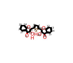 O=c1c(O)c(-c2ccc(-c3oc4ccccc4c(=O)c3O)s2)oc2ccccc12